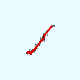 CCCC[C@H](CCC(=O)[C@H](CCCCNC(=O)COCCOCCNC(=O)COCCOCCNC(=O)CCC(NC(=O)C1CCC(CNC(=O)CCCCCCCCCCCCCCCCCCC(=O)O)CC1)C(=O)O)NC)C(=O)CN[C@@H](Cc1ccc(C)cc1)C(N)=O